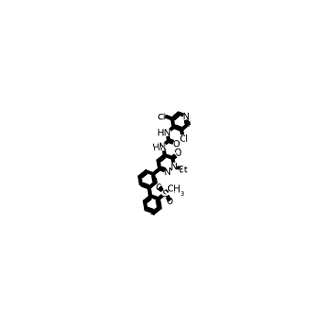 CCn1nc(-c2cccc(-c3ccccc3S(C)(=O)=O)c2)cc(NC(=O)Nc2c(Cl)cncc2Cl)c1=O